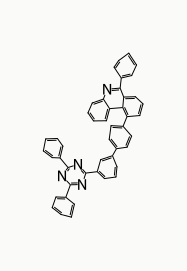 c1ccc(-c2nc(-c3ccccc3)nc(-c3cccc(-c4ccc(-c5cccc6c(-c7ccccc7)nc7ccccc7c56)cc4)c3)n2)cc1